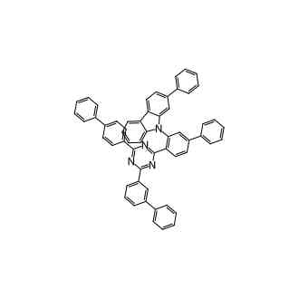 c1ccc(-c2ccc(-c3nc(-c4cccc(-c5ccccc5)c4)nc(-c4ccc(-c5ccccc5)cc4-n4c5ccccc5c5ccc(-c6ccccc6)cc54)n3)cc2)cc1